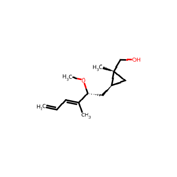 C=C/C=C(\C)[C@@H](C[C@@H]1C[C@@]1(C)CO)OC